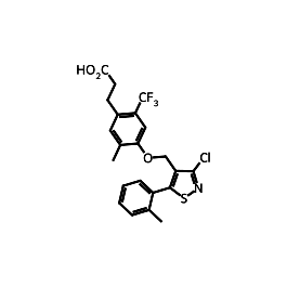 Cc1cc(CCC(=O)O)c(C(F)(F)F)cc1OCc1c(Cl)nsc1-c1ccccc1C